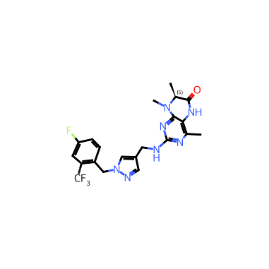 Cc1nc(NCc2cnn(Cc3ccc(F)cc3C(F)(F)F)c2)nc2c1NC(=O)[C@H](C)N2C